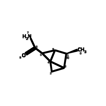 C[C@H]1C2CC23C(C(N)=O)C13